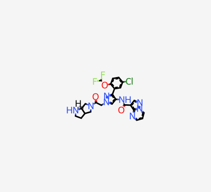 O=C(Nc1cn(CC(=O)N2CC3CCN[C@@H]3C2)nc1-c1cc(Cl)ccc1OC(F)F)c1cnn2cccnc12